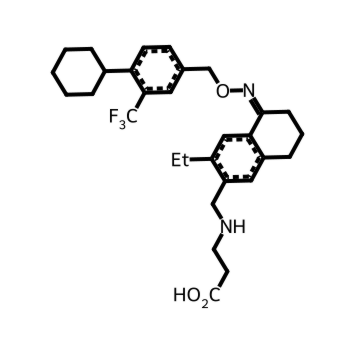 CCc1cc2c(cc1CNCCC(=O)O)CCC/C2=N/OCc1ccc(C2CCCCC2)c(C(F)(F)F)c1